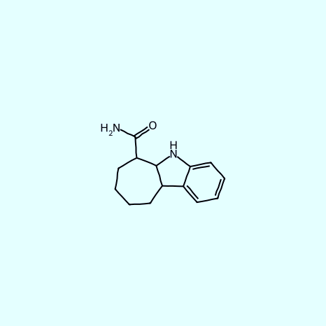 NC(=O)C1CCCCC2c3ccccc3NC12